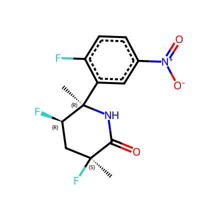 C[C@]1(F)C[C@@H](F)[C@@](C)(c2cc([N+](=O)[O-])ccc2F)NC1=O